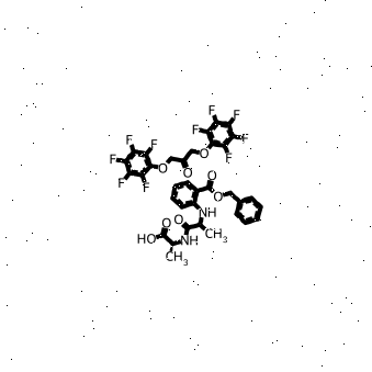 CC(Nc1ccccc1C(=O)OCc1ccccc1)C(=O)N[C@@H](C)C(=O)O.O=C(COc1c(F)c(F)c(F)c(F)c1F)COc1c(F)c(F)c(F)c(F)c1F